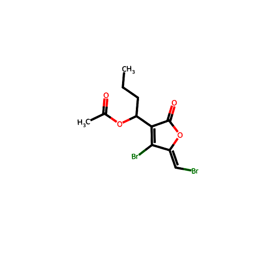 CCCC(OC(C)=O)C1=C(Br)/C(=C/Br)OC1=O